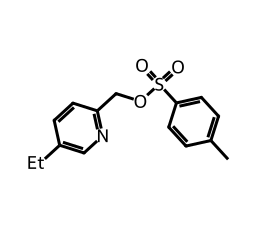 CCc1ccc(COS(=O)(=O)c2ccc(C)cc2)nc1